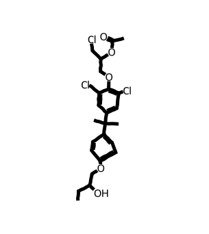 CCC(O)COc1ccc(C(C)(C)c2cc(Cl)c(OCC(CCl)OC(C)=O)c(Cl)c2)cc1